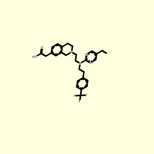 CCc1cnc(N(CCc2ccc(C(F)(F)F)cc2)CCN2CCc3ccc(CC(=O)O)cc3C2)nc1